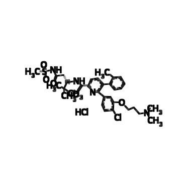 Cc1ccccc1-c1ccc(C(=O)N[C@@H](CC(=O)NS(C)(=O)=O)C(C)(C)C)nc1-c1ccc(Cl)c(OCCCN(C)C)c1.Cl